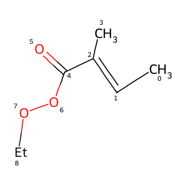 CC=C(C)C(=O)OOCC